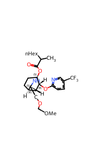 CCCCCCC(C)C(=O)O[C@@]12CC[C@H](C[C@H]1Oc1ccc(C(F)(F)F)cn1)[C@@H](COCOC)N2